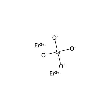 [Er+3].[Er+3].[O-][Si]([O-])([O-])[O-]